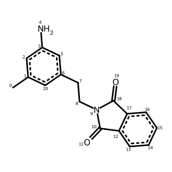 Cc1cc(N)cc(CCN2C(=O)c3ccccc3C2=O)c1